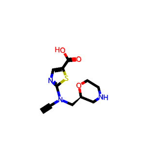 C#CN(C[C@@H]1CNCCO1)c1ncc(C(=O)O)s1